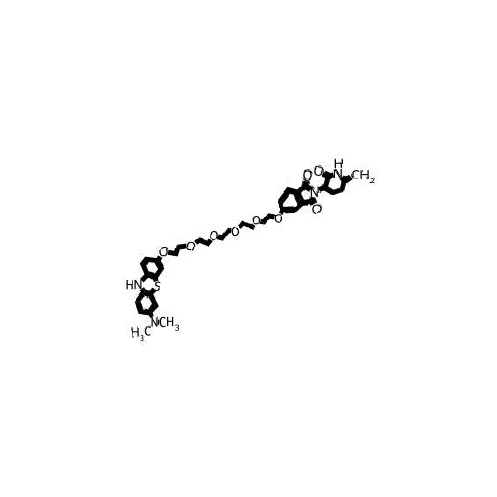 C=C1CCC(N2C(=O)c3ccc(OCCOCCOCCOCCOCCOc4ccc5c(c4)Sc4cc(N(C)C)ccc4N5)cc3C2=O)C(=O)N1